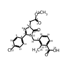 COC(=O)Cn1nc(-c2ccc(Cl)cc2)n(Cc2cccc(C(=O)O)c2C)c1=O